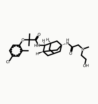 Cc1cc(Cl)ccc1OC(C)(C)C(=O)N[C@H]1[C@@H]2CC3C[C@H]1C[C@](NC(=O)CN(C)CCO)(C3)C2